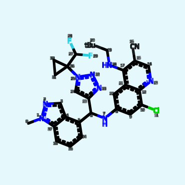 Cn1ncc2c(C(Nc3cc(Cl)c4ncc(C#N)c(NCC(C)(C)C)c4c3)c3cn(C4(C(F)F)CC4)nn3)cccc21